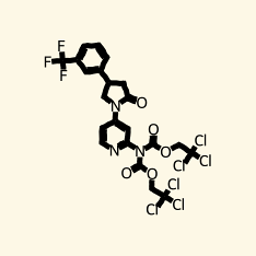 O=C1CC(c2cccc(C(F)(F)F)c2)CN1c1ccnc(N(C(=O)OCC(Cl)(Cl)Cl)C(=O)OCC(Cl)(Cl)Cl)c1